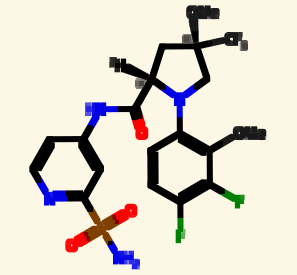 [2H][C@@]1(C(=O)Nc2ccnc(S(N)(=O)=O)c2)C[C@](OC)(C(F)(F)F)CN1c1ccc(F)c(F)c1OC